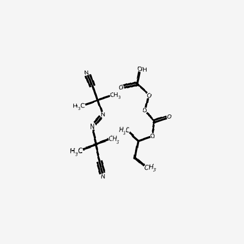 CC(C)(C#N)N=NC(C)(C)C#N.CCC(C)OC(=O)OOC(=O)O